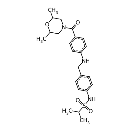 CC1CN(C(=O)c2ccc(NCc3ccc(NS(=O)(=O)C(C)C)cc3)cc2)CC(C)O1